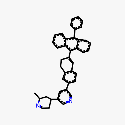 CC1CC(c2cncc(-c3ccc4c(c3)CCC(c3c5ccccc5c(-c5ccccc5)c5ccccc35)=C4)c2)CC=N1